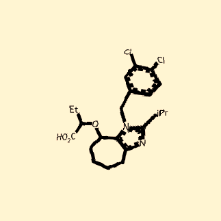 CCC(OC1CCCCc2nc(C(C)C)n(Cc3ccc(Cl)c(Cl)c3)c21)C(=O)O